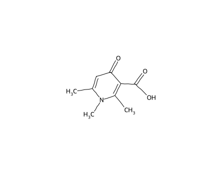 Cc1cc(=O)c(C(=O)O)c(C)n1C